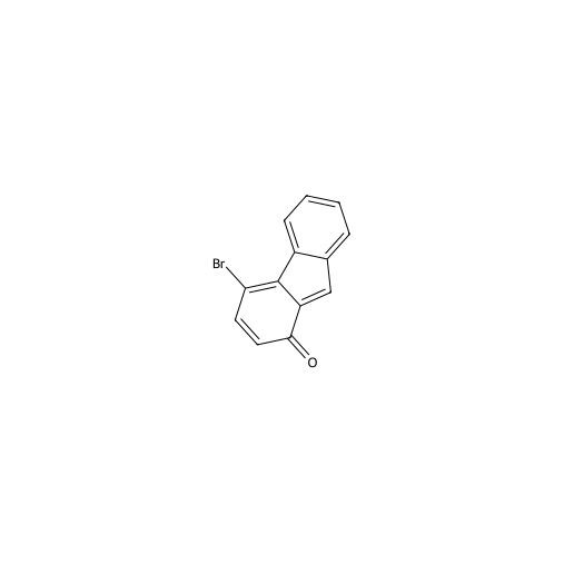 O=C1C=CC(Br)=C2C1=Cc1ccccc12